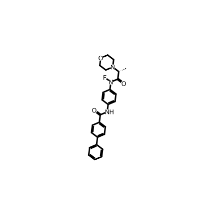 C[C@H](C(=O)N(F)c1ccc(NC(=O)c2ccc(-c3ccccc3)cc2)cc1)N1CCOCC1